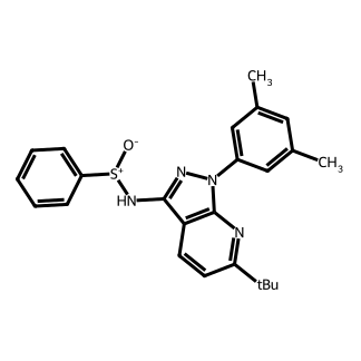 Cc1cc(C)cc(-n2nc(N[S+]([O-])c3ccccc3)c3ccc(C(C)(C)C)nc32)c1